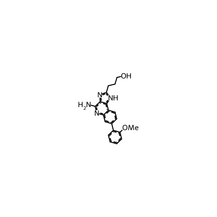 COc1ccccc1-c1ccc2c(c1)nc(N)c1nc(CCCO)[nH]c12